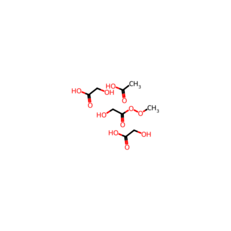 CC(=O)O.COOC(=O)CO.O=C(O)CO.O=C(O)CO